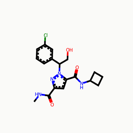 CNC(=O)c1cc(C(=O)NC2CCC2)n(C(CO)c2cccc(Cl)c2)n1